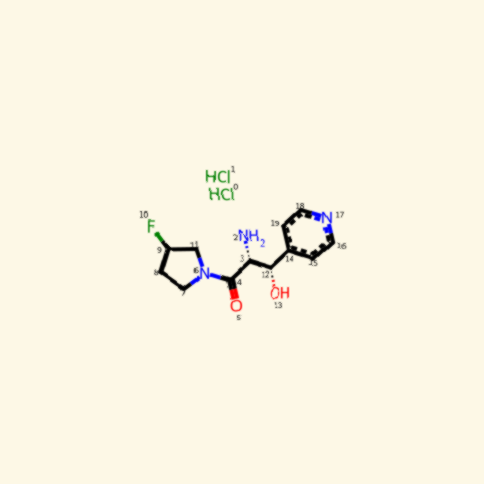 Cl.Cl.N[C@@H](C(=O)N1CCC(F)C1)[C@@H](O)c1ccncc1